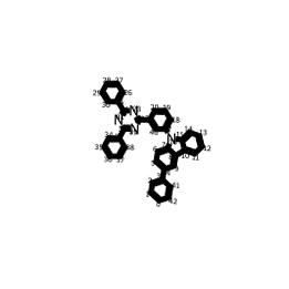 c1ccc(-c2ccc3c(c2)c2ccccc2n3-c2cccc(-c3nc(-c4ccccc4)nc(-c4ccccc4)n3)c2)cc1